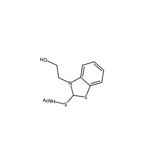 CC(=O)NSC1Sc2ccccc2N1CCO